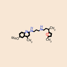 COc1ccc2nc(NCCCNCCC(C)c3ccc(C)o3)cc(C)c2c1